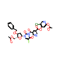 CC(=O)OC[C@H]1O[C@@H](n2cc(F)c(=O)n(C(=O)c3cncc(C(=O)Oc4cc(OC(C)=O)ncc4Cl)c3)c2=O)C[C@@H]1OCc1ccccc1